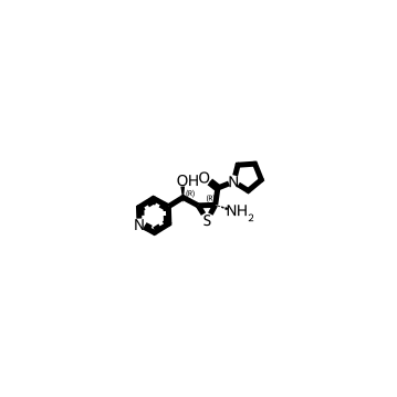 N[C@]1(C(=O)N2CCCC2)SC1[C@H](O)c1ccncc1